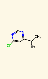 CC(C)C(C)c1cc(Cl)ncn1